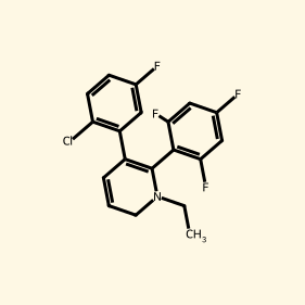 CCN1CC=CC(c2cc(F)ccc2Cl)=C1c1c(F)cc(F)cc1F